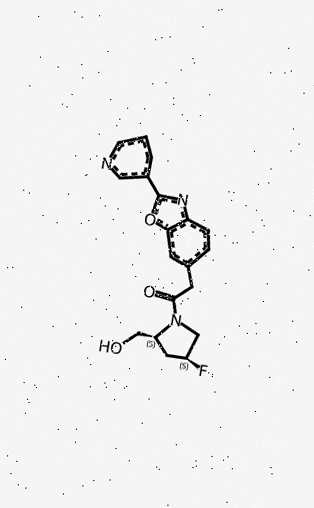 O=C(Cc1ccc2nc(-c3cccnc3)oc2c1)N1C[C@@H](F)C[C@H]1CO